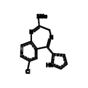 CSC1=Nc2ccc(Cl)cc2C(c2ccc[nH]2)=NC1